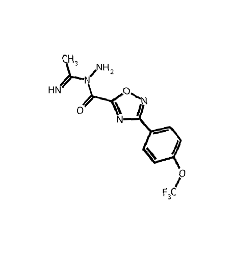 CC(=N)N(N)C(=O)c1nc(-c2ccc(OC(F)(F)F)cc2)no1